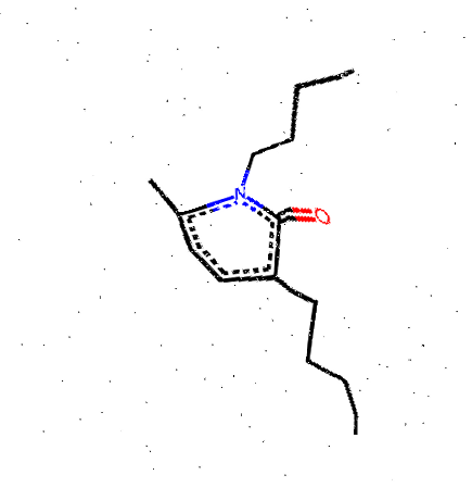 CCCCc1ccc(C)n(CCCC)c1=O